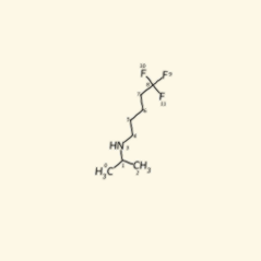 CC(C)NCCCCC(F)(F)F